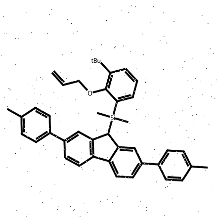 C=CCOc1c(C(C)(C)C)cccc1[Si](C)(C)C1c2cc(-c3ccc(C)cc3)ccc2-c2ccc(-c3ccc(C)cc3)cc21